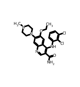 CCOc1cc2c(Nc3cccc(Cl)c3Cl)c(C(N)=O)cnc2cc1N1CCN(C)CC1